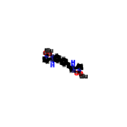 CC(C)(C)OC(=O)N1CCC[C@H]1C1=NCC(CCc2ccc(-c3ccc4nc([C@@H]5CCCN5C(=O)OC(C)(C)C)[nH]c4c3)cc2)N1